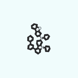 c1ccc(-c2cccc(-c3cccc4c3c3ccc(N(c5ccccc5)c5ccc6c(c5)oc5ccccc56)cc3n4-c3ccccc3)c2)cc1